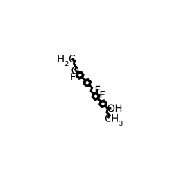 C=CCCOc1ccc(-c2ccc(CCc3ccc(-c4ccc(C(O)CCC)cc4)c(F)c3F)cc2)cc1F